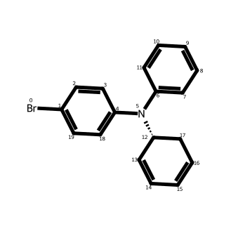 Brc1ccc(N(c2ccccc2)[C@H]2C=CC=CC2)cc1